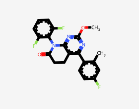 COc1nc(-c2ccc(F)cc2C)c2c(n1)N(c1c(F)cccc1F)C(=O)CC2